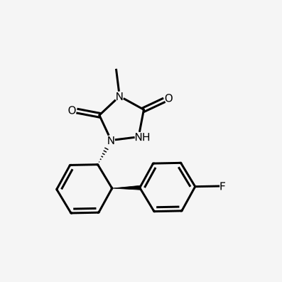 Cn1c(=O)[nH]n([C@H]2C=CC=C[C@@H]2c2ccc(F)cc2)c1=O